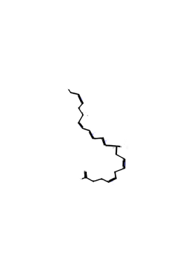 CC/C=C\C[C@H](O)\C=C/C=C/C=C/[C@@](C)(O)C/C=C\C/C=C\CCC(=O)O